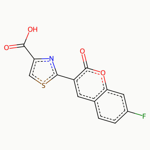 O=C(O)c1csc(-c2cc3ccc(F)cc3oc2=O)n1